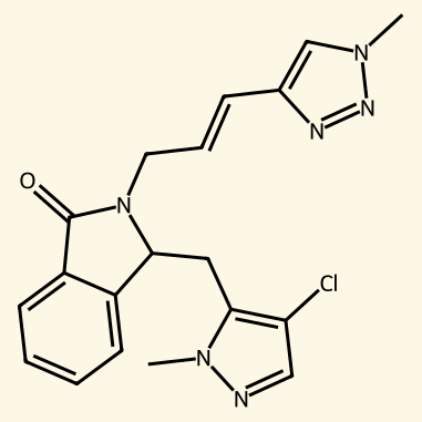 Cn1cc(C=CCN2C(=O)c3ccccc3C2Cc2c(Cl)cnn2C)nn1